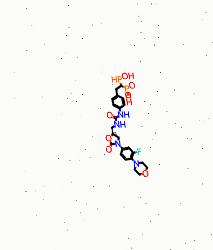 O=C(NC[C@H]1CN(c2ccc(N3CCOCC3)c(F)c2)C(=O)O1)Nc1ccc(CC(PO)[PH](=O)O)cc1